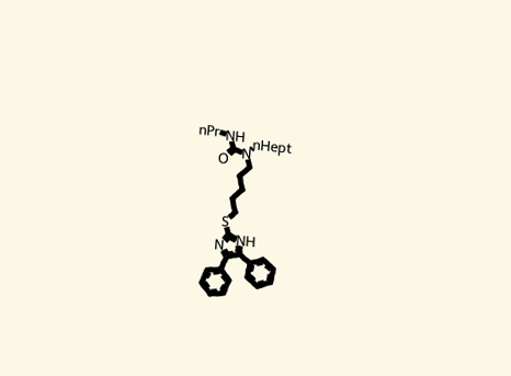 CCCCCCCN(CCCCCSc1nc(-c2ccccc2)c(-c2ccccc2)[nH]1)C(=O)NCCC